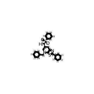 O=S(=O)(NC1Cc2nc(-c3ccccc3)sc2N(Cc2ccccc2)C1)c1ccccc1